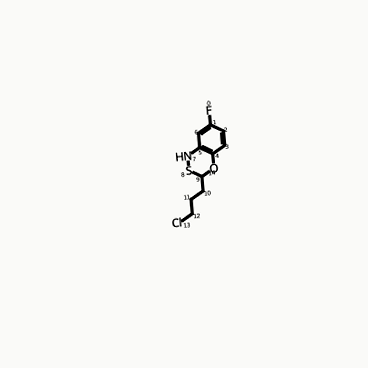 Fc1ccc2c(c1)NSC(CCCCl)O2